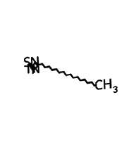 CCCCCCCCCCCCCCCCCC1=NC(=S)N=N1